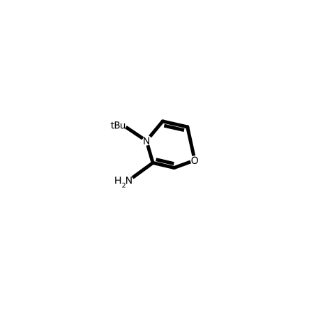 CC(C)(C)N1C=COC=C1N